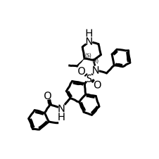 CC[C@H]1CNCC[C@H]1N(Cc1ccccc1)S(=O)(=O)c1ccc(NC(=O)c2ccccc2C)c2ccccc12